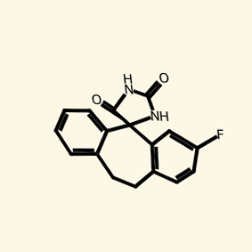 O=C1NC(=O)C2(N1)c1ccccc1CCc1ccc(F)cc12